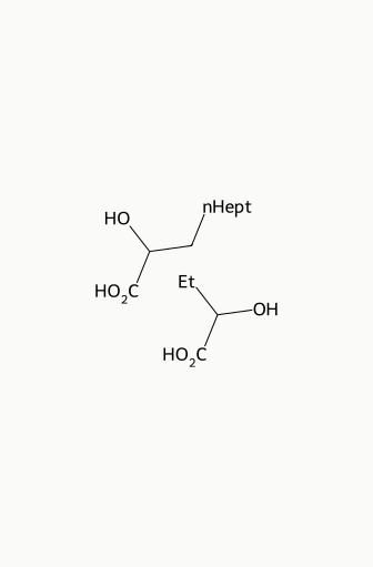 CCC(O)C(=O)O.CCCCCCCCC(O)C(=O)O